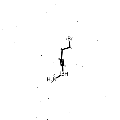 NBC#CCCBr